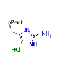 CCCCCCc1c[nH]c(N)n1.Cl